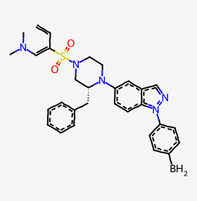 Bc1ccc(-n2ncc3cc(N4CCN(S(=O)(=O)/C(C=C)=C/N(C)C)C[C@H]4Cc4ccccc4)ccc32)cc1